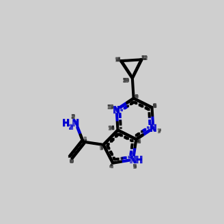 C=C(N)c1c[nH]c2ncc(C3CC3)nc12